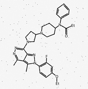 CCOc1ccc(-n2nc3c(N4CCC(N5CCC(N(C(=O)CC)c6ccccc6)CC5)C4)nnc(C)c3c2C)c(F)c1